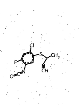 C#CC(C)Sc1cc(N=C=O)c(F)cc1Cl